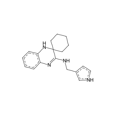 c1ccc2c(c1)N=C(NCc1cc[nH]c1)C1(CCCCC1)N2